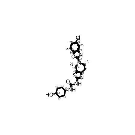 C[C@@H]1Cc2nc(NC(=O)N[C@H]3CC[C@H](O)CC3)sc2[C@H](C)N1c1nc2cc(Cl)ccc2o1